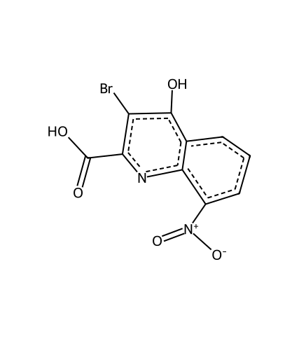 O=C(O)c1nc2c([N+](=O)[O-])cccc2c(O)c1Br